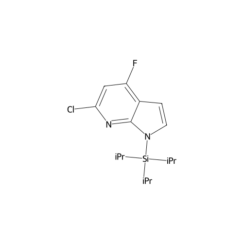 CC(C)[Si](C(C)C)(C(C)C)n1ccc2c(F)cc(Cl)nc21